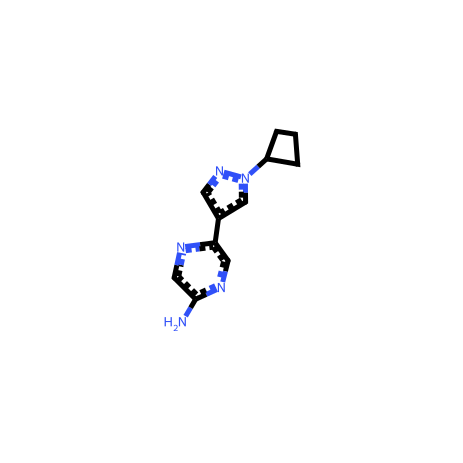 Nc1cnc(-c2cnn(C3CCC3)c2)cn1